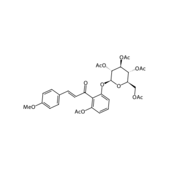 COc1ccc(C=CC(=O)c2c(OC(C)=O)cccc2O[C@@H]2O[C@H](COC(C)=O)[C@@H](OC(C)=O)[C@H](OC(C)=O)[C@H]2OC(C)=O)cc1